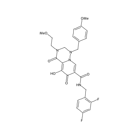 COCCN1CN(Cc2ccc(OC)cc2)n2cc(C(=O)NCc3ccc(F)cc3F)c(=O)c(O)c2C1=O